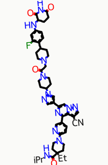 CCC1(C(=O)NC(C)C)CCN(c2ccc(-c3nc(-c4cnn(C5CCN(C(=O)CN6CCC(c7ccc(NC8CCC(=O)NC8=O)cc7F)CC6)CC5)c4)cn4ncc(C#N)c34)cn2)CC1